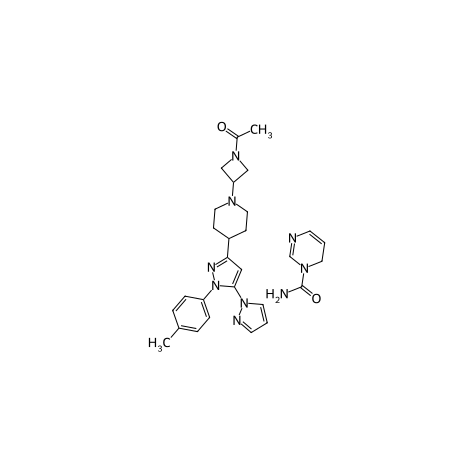 CC(=O)N1CC(N2CCC(c3cc(-n4cccn4)n(-c4ccc(C)cc4)n3)CC2)C1.NC(=O)N1C=NC=CC1